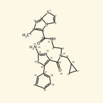 Cc1nc2sccn2c1C(=O)NCCN(CC1CC1)C(=O)c1nc(N)sc1-c1ccccc1